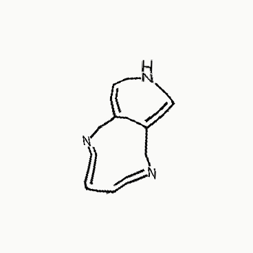 [c]1cnc2c[nH]cc2n1